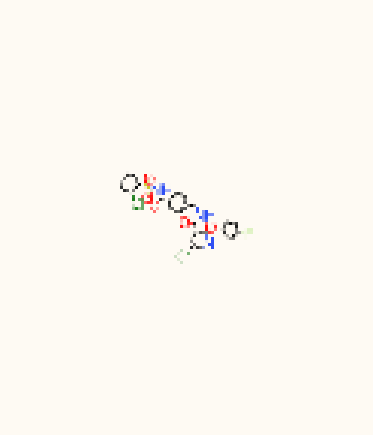 C[C@H](NC(=O)c1cc(Cl)cnc1Oc1ccc(F)cc1)c1ccc(C(=O)NS(=O)(=O)c2ccccc2Cl)cc1